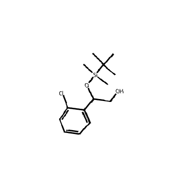 CC(C)(C)[Si](C)(C)OC(CO)c1ccccc1Cl